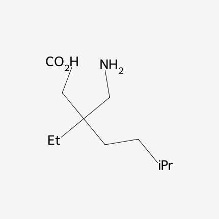 CCC(CN)(CCC(C)C)CC(=O)O